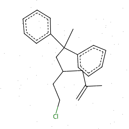 C=C(C)CC(CCCl)CC(C)(c1ccccc1)c1ccccc1